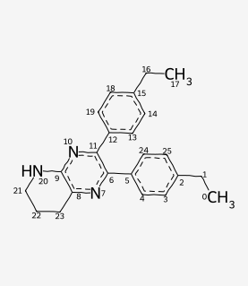 CCc1ccc(-c2nc3c(nc2-c2ccc(CC)cc2)NCCC3)cc1